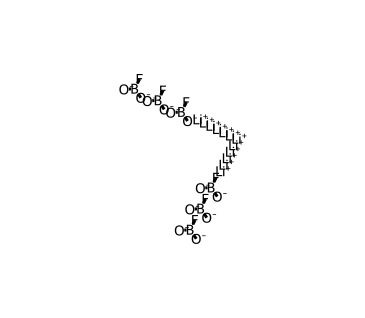 [Li+].[Li+].[Li+].[Li+].[Li+].[Li+].[Li+].[Li+].[Li+].[Li+].[Li+].[Li+].[O-]B([O-])F.[O-]B([O-])F.[O-]B([O-])F.[O-]B([O-])F.[O-]B([O-])F.[O-]B([O-])F